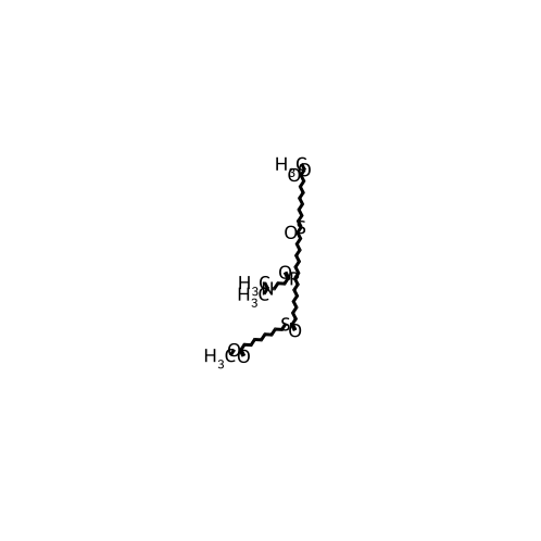 COC(=O)CCCCCCCCSC(=O)CCCCCCCP(CCCCCCCC(=O)SCCCCCCCCC(=O)OC)C(=O)CCCN(C)C